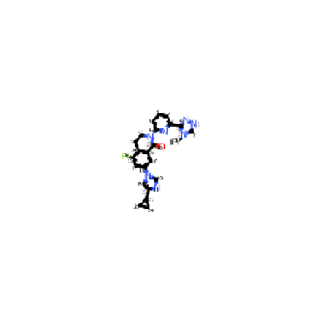 CC(C)n1cnnc1-c1cccc(N2CCc3c(F)cc(-n4cnc(C5CC5)c4)cc3C2=O)n1